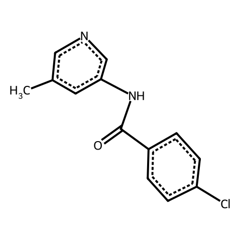 Cc1cncc(NC(=O)c2ccc(Cl)cc2)c1